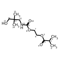 CC(C)C(=O)OCCOC(=O)NCC(C)(C)CO